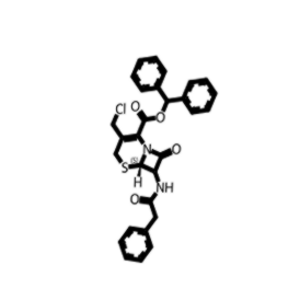 O=C(Cc1ccccc1)NC1C(=O)N2C(C(=O)OC(c3ccccc3)c3ccccc3)=C(CCl)CS[C@@H]12